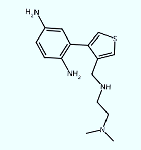 CN(C)CCNCc1cscc1-c1cc(N)ccc1N